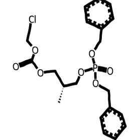 C[C@H](COC(=O)OCCl)COP(=O)(OCc1ccccc1)OCc1ccccc1